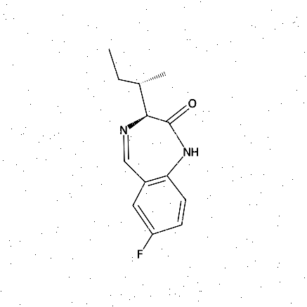 CC[C@H](C)[C@@H]1N=Cc2cc(F)ccc2NC1=O